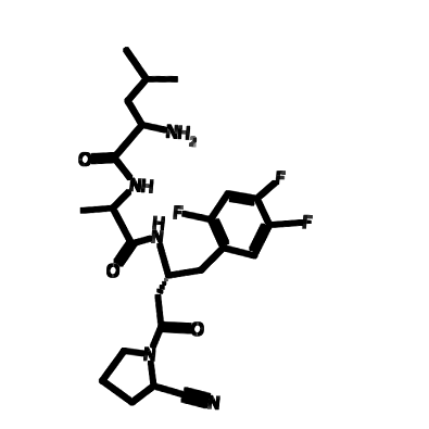 CC(C)CC(N)C(=O)NC(C)C(=O)N[C@@H](CC(=O)N1CCCC1C#N)Cc1cc(F)c(F)cc1F